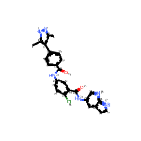 Cc1n[nH]c(C)c1-c1ccc(C(=O)Nc2ccc(Cl)c(C(=O)Nc3cnc4[nH]ccc4c3)c2)cc1